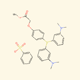 CN(C)c1cccc([S+](c2ccc(OCC(=O)OC(C)(C)C)cc2)c2cccc(N(C)C)c2)c1.O=S(=O)([O-])c1ccccc1